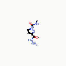 CNC(=O)n1ccc(C(=O)NN)n1